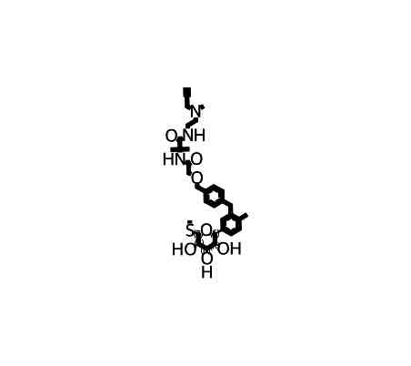 C#CCN(C)CCNC(=O)C(C)(C)NC(=O)COCc1ccc(Cc2cc([C@@H]3O[C@H](SC)[C@@H](O)[C@H](O)[C@H]3O)ccc2C)cc1